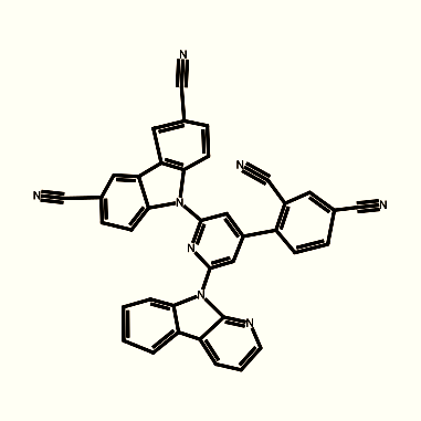 N#Cc1ccc(-c2cc(-n3c4ccc(C#N)cc4c4cc(C#N)ccc43)nc(-n3c4ccccc4c4cccnc43)c2)c(C#N)c1